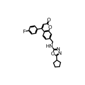 O=c1cc(-c2ccc(F)cc2)c2ccc(CNc3nnc(C4CCCC4)o3)cc2o1